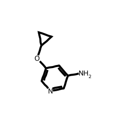 Nc1cncc(OC2CC2)c1